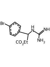 CCOC(=O)C(NC(=N)N)c1ccc(Br)cc1